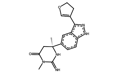 CN1C(=N)N[C@](C)(c2ccc3[nH]nc(C4=COCC4)c3c2)CC1=O